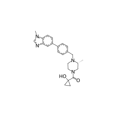 C[C@@H]1CN(C(=O)C2(O)CC2)CCN1Cc1ccc(-c2ccc3c(c2)ncn3C)cc1